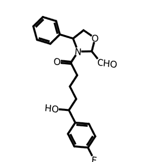 O=CC1OCC(c2ccccc2)N1C(=O)CCCC(O)c1ccc(F)cc1